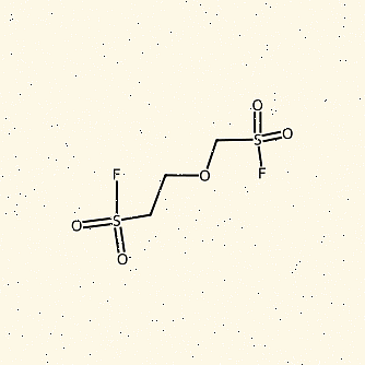 O=S(=O)(F)CCOCS(=O)(=O)F